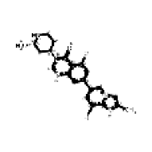 Cc1cn2cc(-c3cc(F)c4c(=O)n([C@@H]5CCN[C@@H](C)C5)cnc4c3)cc(F)c2n1